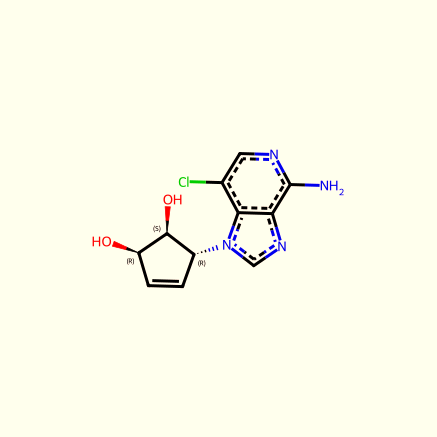 Nc1ncc(Cl)c2c1ncn2[C@@H]1C=C[C@@H](O)[C@H]1O